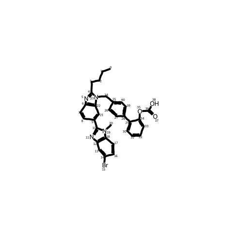 CCCCc1nc2ccc(-c3nc4cc(Br)ccc4n3C)cc2n1Cc1ccc(-c2ccccc2OC(=O)O)cc1